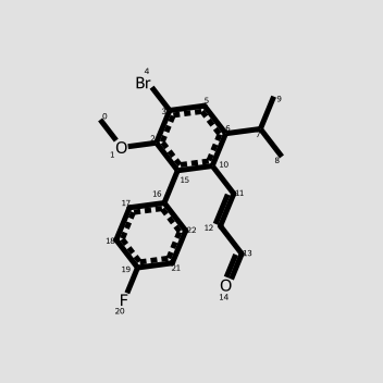 COc1c(Br)cc(C(C)C)c(/C=C/C=O)c1-c1ccc(F)cc1